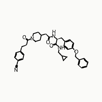 N#Cc1ccc(CCC(=O)N2CCC(CC(=O)N[C@@H](Cc3ccc(OCc4ccccc4)cc3)C(=O)NCC3CC3)CC2)cc1